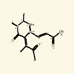 CC(=O)/C(C)=C1/C(=O)N(C)C(C)NN1/C=C/C(=O)O